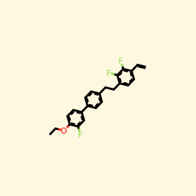 C=Cc1ccc(CCc2ccc(-c3ccc(OCC)c(F)c3)cc2)c(F)c1F